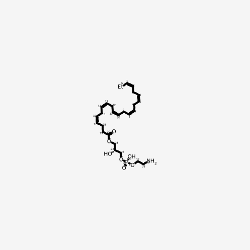 CC/C=C\C/C=C\C/C=C\C/C=C\C/C=C\C/C=C\CCC(=O)OC[C@@H](O)COP(=O)(O)OCCN